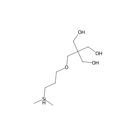 C[SiH](C)CCCOCC(CO)(CO)CO